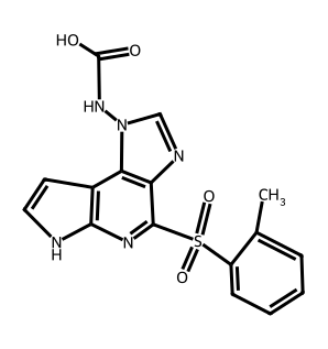 Cc1ccccc1S(=O)(=O)c1nc2[nH]ccc2c2c1ncn2NC(=O)O